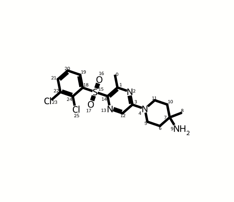 Cc1nc(N2CCC(C)(N)CC2)cnc1S(=O)(=O)c1cccc(Cl)c1Cl